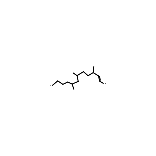 [CH2]C=CC(C)CCC(C)CC(C)CCC[CH2]